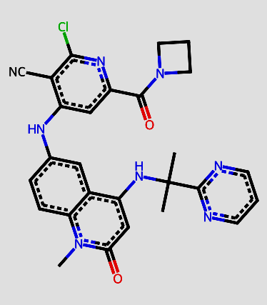 Cn1c(=O)cc(NC(C)(C)c2ncccn2)c2cc(Nc3cc(C(=O)N4CCC4)nc(Cl)c3C#N)ccc21